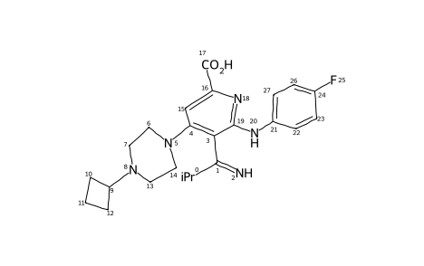 CC(C)C(=N)c1c(N2CCN(C3CCC3)CC2)cc(C(=O)O)nc1Nc1ccc(F)cc1